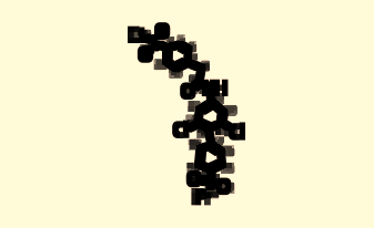 CCS(=O)(=O)c1ccc(CC(=O)Nc2cc(Cl)c(-c3ccc(S(=O)(=O)C(C)C)cc3)c(Cl)c2)cc1